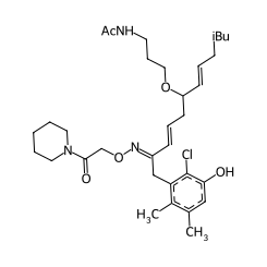 CCC(C)C/C=C/C(C/C=C/C(Cc1c(C)c(C)cc(O)c1Cl)=N/OCC(=O)N1CCCCC1)OCCCNC(C)=O